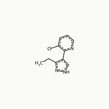 CCc1n[nH][c]c1-c1ncccc1Cl